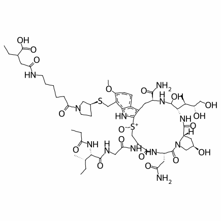 CCC(=O)N[C@H](C(=O)NCC(=O)N[C@H]1C[S+]([O-])c2[nH]c3c(CS[C@H]4CCN(C(=O)CCCCCNC(=O)CC(CC)C(=O)O)C4)c(OC)ccc3c2C[C@@H](C(N)=O)NC(O)[C@H]([C@@H](C)[C@@H](O)CO)NC(=O)[C@@H]2C[C@@H](O)CN2C(=O)[C@H](CC(N)=O)NC1=O)[C@@H](C)CC